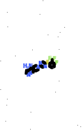 N[C@@H]1c2ccnn2CC12CCN(c1cnc(Sc3cccc(F)c3C(F)F)cn1)CC2